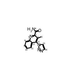 Cc1c(C(N)=O)nc2ccccc2c1-n1ccnn1